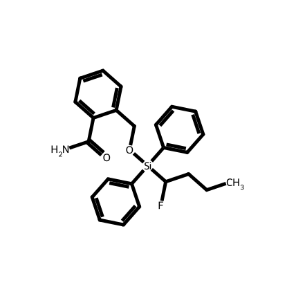 CCCC(F)[Si](OCc1ccccc1C(N)=O)(c1ccccc1)c1ccccc1